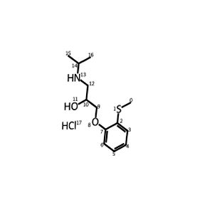 CSc1ccccc1OCC(O)CNC(C)C.Cl